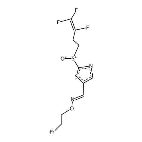 CC(C)CCO/N=C/c1cnc([S+]([O-])CCC(F)=C(F)F)s1